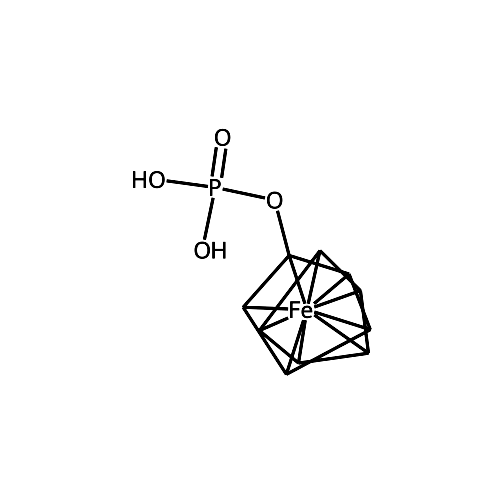 O=P(O)(O)O[C]12[CH]3[CH]4[CH]5[CH]1[Fe]45321678[CH]2[CH]1[CH]6[CH]7[CH]28